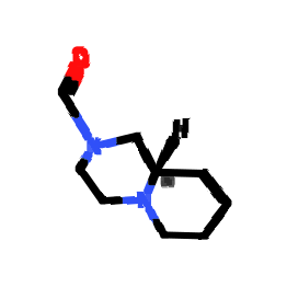 O=CN1CCN2CCCC[C@H]2C1